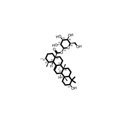 C[C@H]1[C@H](C)CC[C@]2(C(=O)O[C@@H]3O[C@H](CO)[C@H](O)[C@H](O)[C@H]3O)CC[C@]3(C)C(=CC[C@@H]4[C@@]5(C)CC[C@H](O)C(C)(C)C5CC[C@]43C)[C@H]12